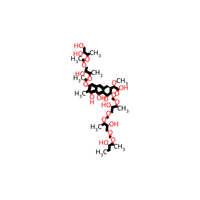 CC[C@H](O)C(C)OCOC[C@@H](O)C(C)OCOC[C@H](O)C(C)OCO[C@@H]1C(=O)c2c(cc3cc(OC(C)OC(C)[C@@H](O)COC(C)OC(C)[C@@H](O)CO)c(C)c(O)c3c2O)C[C@H]1[C@H](OC)C(=O)O